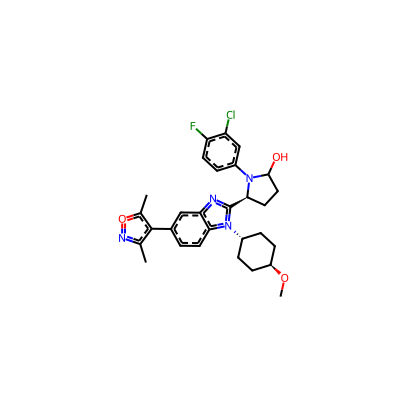 CO[C@H]1CC[C@H](n2c([C@@H]3CCC(O)N3c3ccc(F)c(Cl)c3)nc3cc(-c4c(C)noc4C)ccc32)CC1